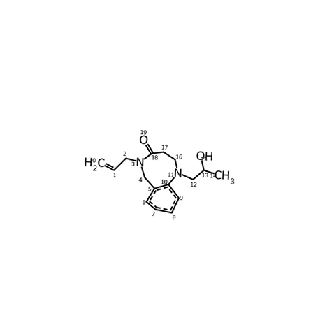 C=CCN1Cc2ccccc2N(CC(C)O)CCC1=O